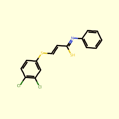 SC(C=CSc1ccc(Cl)c(Cl)c1)=Nc1ccccc1